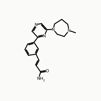 CN1CCCN(c2cncc(-c3cccc(C=CC(N)=O)c3)n2)CC1